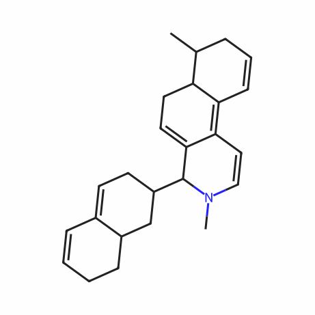 CC1CC=CC2=C3C=CN(C)C(C4CC=C5C=CCCC5C4)C3=CCC21